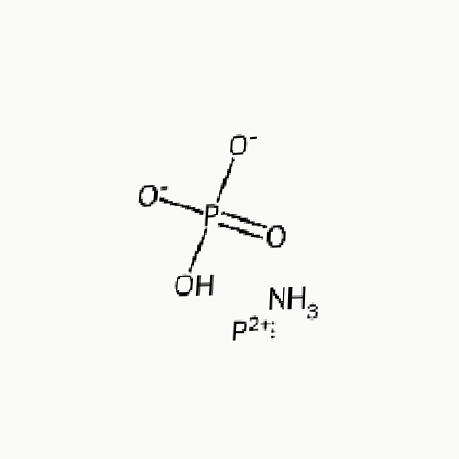 N.O=P([O-])([O-])O.[P+2]